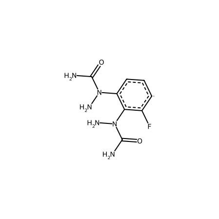 NC(=O)N(N)c1cc[c]c(F)c1N(N)C(N)=O